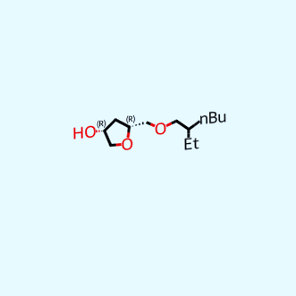 CCCCC(CC)COC[C@H]1C[C@@H](O)CO1